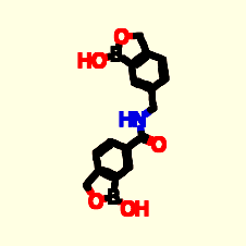 O=C(NCc1ccc2c(c1)B(O)OC2)c1ccc2c(c1)B(O)OC2